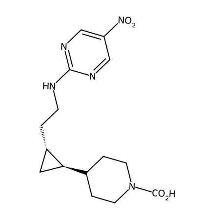 O=C(O)N1CCC([C@H]2C[C@@H]2CCNc2ncc([N+](=O)[O-])cn2)CC1